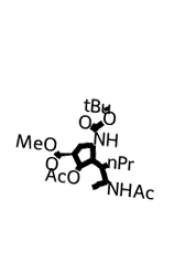 CCCC(C(C)NC(C)=O)C1C(NC(=O)OC(C)(C)C)C[C@H](C(=O)OC)C1OC(C)=O